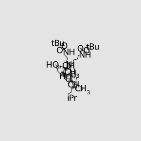 CC(C)CCC[C@@H](C)[C@H]1CC[C@H]2[C@@H]3C[C@@H](N(CCCCNC(=O)OC(C)(C)C)CCCNC(=O)OC(C)(C)C)[C@@]4(O)C[C@@H](O)CC[C@]4(C)[C@H]3CC[C@]12C